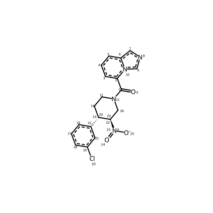 O=C(c1cccc2cncn12)N1CC[C@@H](c2cccc(Cl)c2)[C@H]([N+](=O)[O-])C1